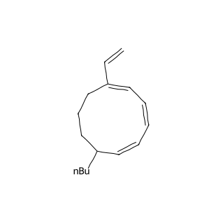 C=CC1=CC=CC=CC(CCCC)CCC1